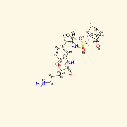 CC1(C)C2CC[C@]1(CS(=O)(=O)N[C@@H](Cc1ccc3c(c1)NC(=O)[C@@H](CCCN)O3)C(=O)O)C(=O)C2